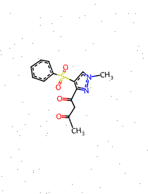 CC(=O)CC(=O)c1nn(C)cc1S(=O)(=O)c1ccccc1